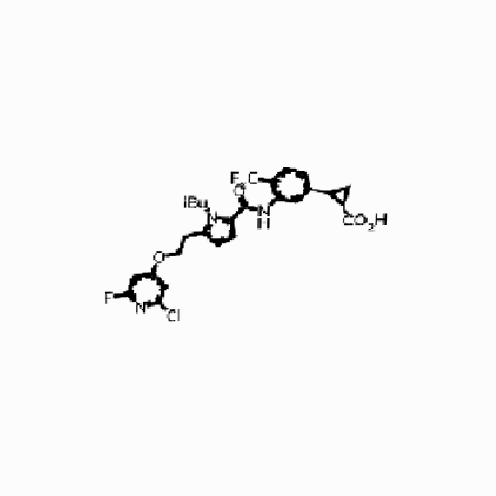 CCC(C)n1c(CCOc2cc(F)nc(Cl)c2)ccc1C(=O)Nc1cc([C@H]2C[C@H]2C(=O)O)ccc1C(F)(F)F